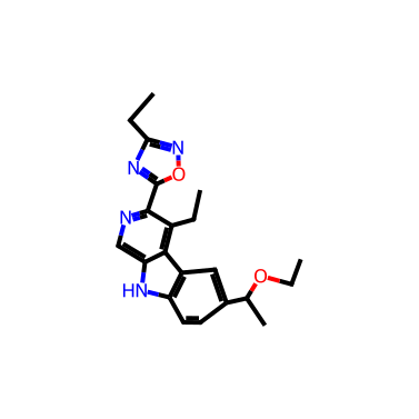 CCOC(C)c1ccc2[nH]c3cnc(-c4nc(CC)no4)c(CC)c3c2c1